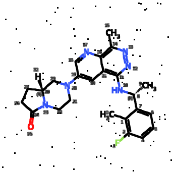 Cc1c(F)cccc1[C@@H](C)Nc1nnc(C)c2ncc(N3CCN4C(=O)CC[C@@H]4C3)cc12